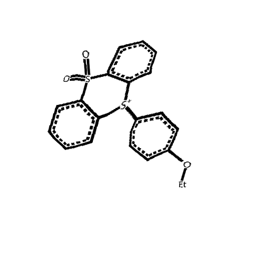 CCOc1ccc([S+]2c3ccccc3S(=O)(=O)c3ccccc32)cc1